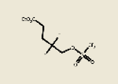 CCOC(=O)CCC(F)(F)COS(=O)(=O)C(F)(F)F